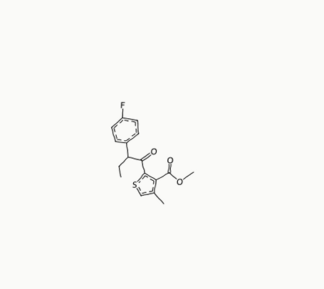 CCC(C(=O)c1scc(C)c1C(=O)OC)c1ccc(F)cc1